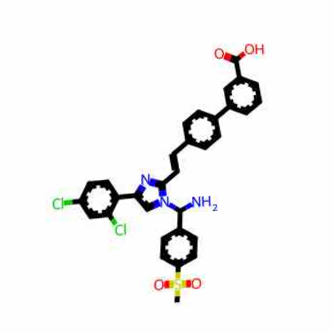 CS(=O)(=O)c1ccc(C(N)n2cc(-c3ccc(Cl)cc3Cl)nc2C=Cc2ccc(-c3cccc(C(=O)O)c3)cc2)cc1